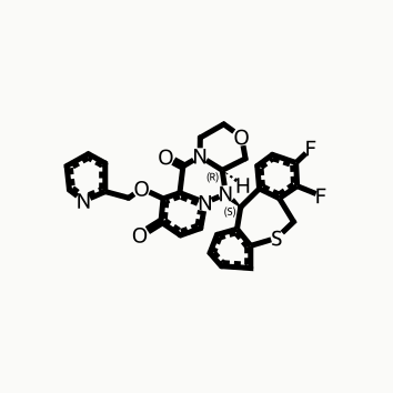 O=C1c2c(OCc3ccccn3)c(=O)ccn2N([C@@H]2c3ccccc3SCc3c2ccc(F)c3F)[C@@H]2COCCN12